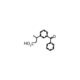 CC(CC(=O)O)c1cccc(C(=O)c2ccccc2)c1